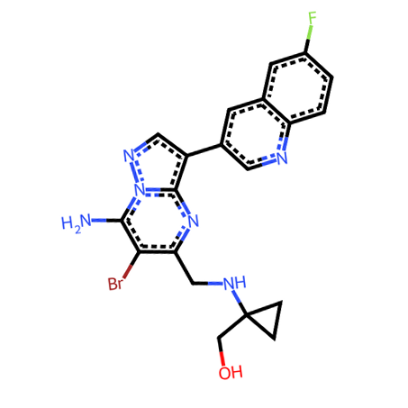 Nc1c(Br)c(CNC2(CO)CC2)nc2c(-c3cnc4ccc(F)cc4c3)cnn12